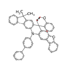 CC1(C)c2ccccc2-c2cc3c(cc21)C1(c2ccccc2Oc2ccccc21)c1cc2oc4ccccc4c2cc1N3c1ccc(-c2ccccc2)cc1